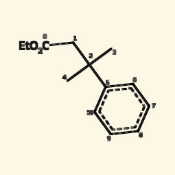 CCOC(=O)CC(C)(C)c1ccccc1